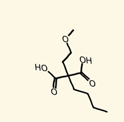 CCCCC(CCOC)(C(=O)O)C(=O)O